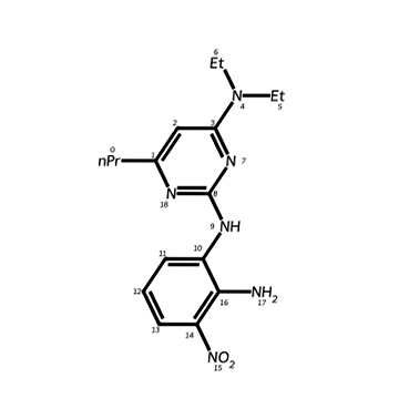 CCCc1cc(N(CC)CC)nc(Nc2cccc([N+](=O)[O-])c2N)n1